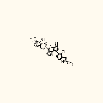 C[C@@H]1OCC2(CCN(c3nc4[nH]cc(-c5ccc6nn(C)cc6c5Cl)c4c4nccn34)CC2)[C@@H]1N